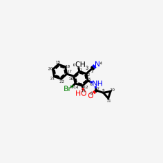 Cc1c(C#N)c(NC(=O)C2CC2)c(O)c(Br)c1-c1ccccc1